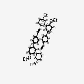 CCC[C@H]1CC[C@H](C#Cc2ccc(-c3ccc(OCC)cc3)cc2)CC1.CCOc1ccc(-c2ccc(C#C[C@H]3CC[C@H](CC)CC3)cc2)cc1